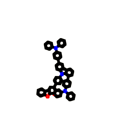 c1ccc(N(c2ccccc2)c2ccc(-c3ccc4c(c3)c3cccc(-c5ccc(N(c6ccccc6)c6ccccc6)cc5)c3n4-c3ccc(-c4ccc5oc6ccccc6c5c4)cc3)cc2)cc1